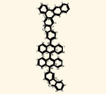 c1ccc2cc3c(cc2c1)c1ccccc1c1cc2oc4cc(-c5c6ccccc6c(-c6c7ccccc7c(-c7ccc8oc9ccccc9c8c7)c7ccccc67)c6ccccc56)ccc4c2cc31